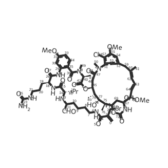 C=C(CBr)C(=O)NCCCCC(C=O)N[C@H](C(=O)N[C@@H](CCCNC(N)=O)C(=O)Nc1cc(OC)ccc1C(=O)N(C)[C@@H](C)C(=O)O[C@H]1CC(=O)N(C)c2cc(cc(OC)c2Cl)C/C(C)=C/C=C/[C@@H](OC)[C@@]2(O)C[C@H](OC(=O)N2)[C@@H](C)[C@H](O)[C@@H]1C)C(C)C